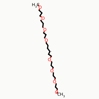 COCCCOCCCOCCCOCC[CH]CCCOCCCOCCCOCCCOC